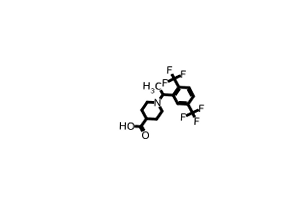 CC(c1cc(C(F)(F)F)ccc1C(F)(F)F)N1CCC(C(=O)O)CC1